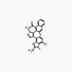 Cn1ncc(-c2ccc(Cl)c3c2nc(N)n3C)c1-c1c(F)cc2ccccc2c1C(N)=O